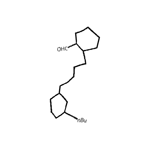 CCCCC1CCCC(CCCCC2CCCCC2C=O)C1